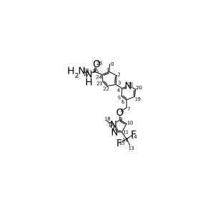 Cc1cc(-c2cc(COc3cc(C(C)(F)F)nn3C)ccn2)ccc1C(=O)NN